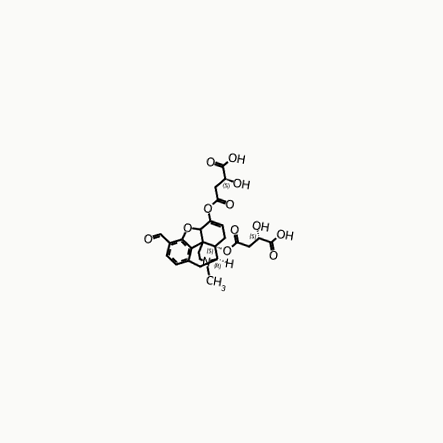 CN1CCC23c4c5ccc(C=O)c4OC2C(OC(=O)C[C@H](O)C(=O)O)=CC[C@@]3(OC(=O)C[C@H](O)C(=O)O)[C@H]1C5